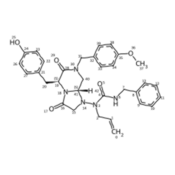 C=CCN(C(=O)NCc1ccccc1)N1CC(=O)N2[C@@H](Cc3ccc(O)cc3)C(=O)N(Cc3ccc(OC)cc3)C[C@@H]21